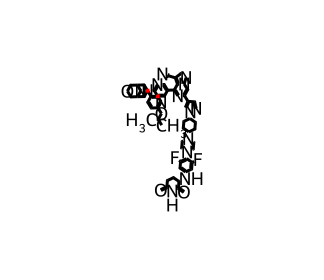 CC(C)Oc1ccc(CN2C3COCC2CN(c2ccc(-c4nc(-c5cnn(C6CCC(N7CCN(c8c(F)cc(NC9CCC(=O)NC9=O)cc8F)CC7)CC6)c5)cn5ncc(C#N)c45)cn2)C3)cn1